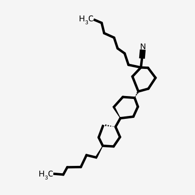 CCCCCCCC1(C#N)CCCC([C@H]2CC[C@H]([C@H]3CC[C@H](CCCCCC)CC3)CC2)C1